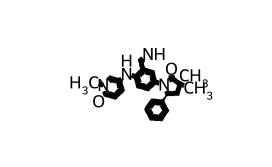 Cn1cc(Nc2ccc(N3C(=O)C(C)(C)C[C@H]3c3ccccc3)cc2C=N)ccc1=O